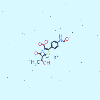 C[C@@H](O)[C@H]1C(=O)N2C(C(=O)[O-])=C(c3ccc(NC=O)cc3)S[C@H]12.[K+]